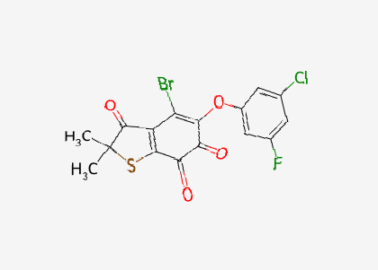 CC1(C)SC2=C(C1=O)C(Br)=C(Oc1cc(F)cc(Cl)c1)C(=O)C2=O